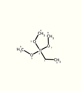 C[CH2][Ti]([O]C)([O]C)[O]C